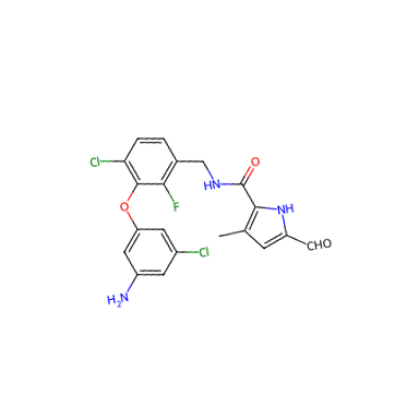 Cc1cc(C=O)[nH]c1C(=O)NCc1ccc(Cl)c(Oc2cc(N)cc(Cl)c2)c1F